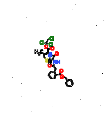 CC1=C(C(=O)OC(Cl)(Cl)CCl)N2C(=O)C(NC(=O)Cc3ccccc3C(=O)OCc3ccccc3)[C@H]2SC1